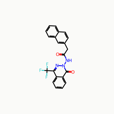 O=C(Cc1ccc2ccccc2c1)Nn1nc(C(F)(F)F)c2ccccc2c1=O